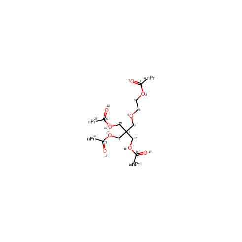 CCCC(=O)OCCOCC(COC(=O)CCC)(COC(=O)CCC)COC(=O)CCC